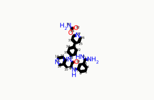 N=C(N)c1cccc(N[C@@H](Cc2cccnc2)C(=O)Nc2ccc(-c3ccnc(OC(N)=O)c3)cc2)c1